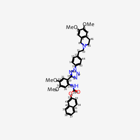 COc1cc2c(cc1OC)CN(CCc1ccc(-n3nnc(-c4cc(OC)c(OC)cc4NC(=O)Oc4ccc5ccccc5c4)n3)cc1)CC2